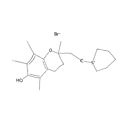 Cc1c(C)c2c(c(C)c1O)CCC(C)(CC[S+]1CCCCC1)O2.[Br-]